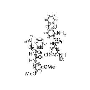 CCNc1nc(Cl)nc(NC(C)C)n1.COc1cc(OC)nc(NC(=O)NS(=O)(=O)c2ncccc2C(=O)N(C)C)n1.Nc1c([N+](=O)[O-])ccc(Oc2ccccc2)c1Cl